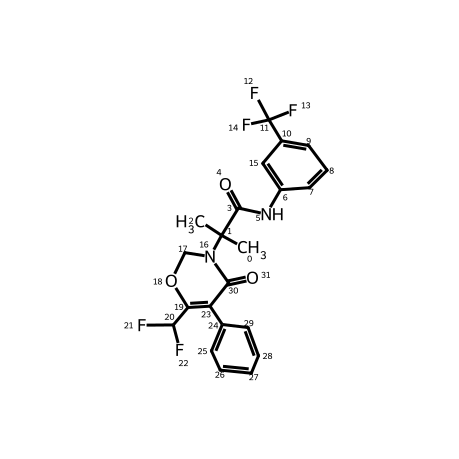 CC(C)(C(=O)Nc1cccc(C(F)(F)F)c1)N1COC(C(F)F)=C(c2ccccc2)C1=O